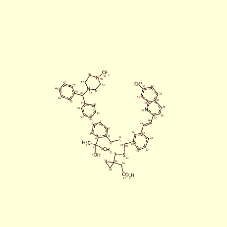 CC(C)(O)c1ccccc1CC[C@@H](SCC1(CC(=O)O)CC1)c1cccc(C=Cc2ccc3ccc(Cl)cc3n2)c1.FC(F)(F)N1CCN(C(c2ccccc2)c2ccccc2)CC1